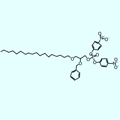 CCCCCCCCCCCCCCCCCCOCC(COP(=O)(Oc1ccc([N+](=O)[O-])cc1)Oc1ccc([N+](=O)[O-])cc1)OCc1ccccc1